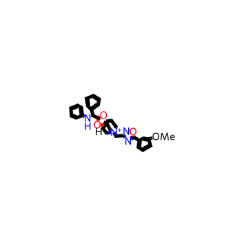 COc1cccc(-c2nc(C[N+]34CCC(CC3)[C@@H](OC(=O)[C@H](Nc3ccccc3)c3ccccc3)C4)no2)c1